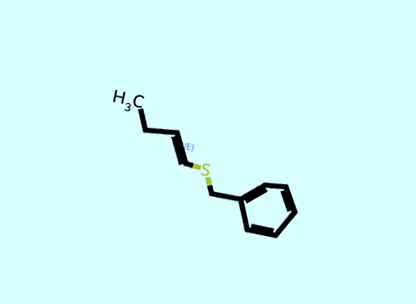 CC/C=C/SCc1ccccc1